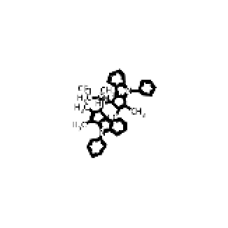 CC1=C(C)[CH]([Hf+2]([CH]2C(C)=C(C)c3c2c2ccccc2n3-c2ccccc2)[SiH](C)C)c2c1n(-c1ccccc1)c1ccccc21.[Cl-].[Cl-]